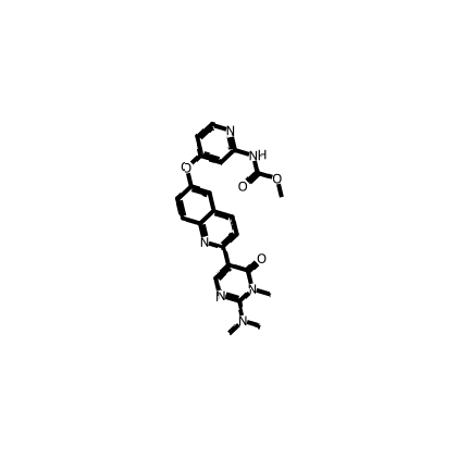 COC(=O)Nc1cc(Oc2ccc3nc(-c4cnc(N(C)C)n(C)c4=O)ccc3c2)ccn1